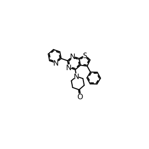 O=C1CCN(c2nc(-c3ccccn3)nc3scc(-c4ccccc4)c23)CC1